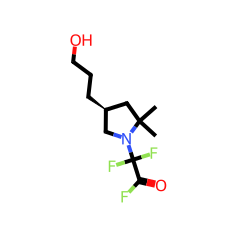 CC1(C)C[C@H](CCCO)CN1C(F)(F)C(=O)F